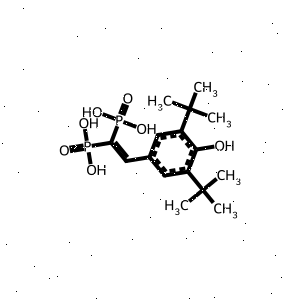 CC(C)(C)c1cc(C=C(P(=O)(O)O)P(=O)(O)O)cc(C(C)(C)C)c1O